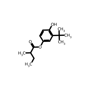 CCC(C)C(=O)Oc1ccc(O)c(C(C)(C)C)c1